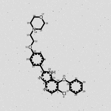 Clc1cnc2nc(-c3ccc(OCCN4CCOCC4)cc3)[nH]c2c1Oc1ccccc1